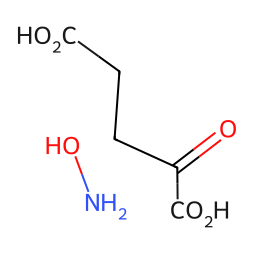 NO.O=C(O)CCC(=O)C(=O)O